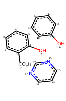 O=C(O)c1ccccc1O.Oc1ccccc1.c1cncnc1